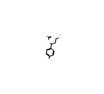 CCNCCC(OC(N)=O)c1ccc(OC)cc1